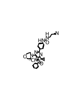 C[C@H]1COCCN1c1cc(C2(S(=O)(=O)c3ccccc3)CC2)nc(-c2ccc(NC(=O)NCCC#N)cc2)n1